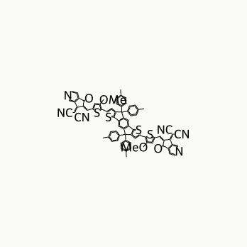 COc1cc(/C=C2\C(=O)c3ccncc3C2=C(C#N)C#N)sc1-c1cc2c(s1)-c1cc3c(cc1C2(c1ccc(C)cc1)c1ccc(C)cc1)-c1sc(-c2sc(/C=C4\C(=O)c5ccncc5C4=C(C#N)C#N)cc2OC)cc1C3(c1ccc(C)cc1)c1ccc(C)cc1